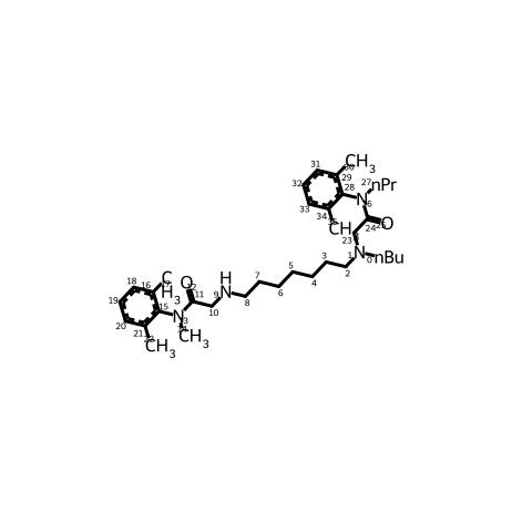 CCCCN(CCCCCCCNCC(=O)N(C)c1c(C)cccc1C)CC(=O)N(CCC)c1c(C)cccc1C